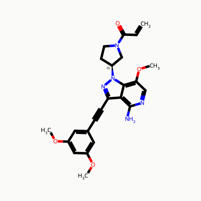 C=CC(=O)N1CC[C@H](n2nc(C#Cc3cc(OC)cc(OC)c3)c3c(N)ncc(OC)c32)C1